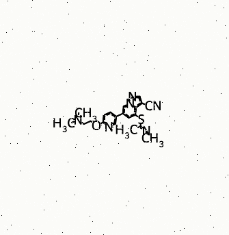 C/N=C(\C)Sc1cc(-c2ccc(OCCN(C)C)nc2)cn2ncc(C#N)c12